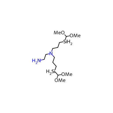 COC(OC)[SiH2]CCCN(CCN)CCC[SiH2]C(OC)OC